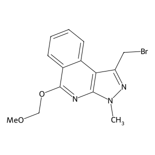 COCOc1nc2c(c(CBr)nn2C)c2ccccc12